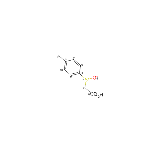 Cc1ccc([S+]([O-])CC(=O)O)cc1